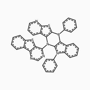 c1ccc(B2c3sc4ncccc4c3N(c3ncnc4c3sc3ccccc34)c3c2c2ccccc2n3-c2ccccc2)cc1